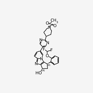 CS(=O)(=O)N1CCC(c2ncc(-c3ccc4nc5c(n4c3)[C@@H](c3ccccc3OC(F)F)C[C@H]5O)cn2)CC1